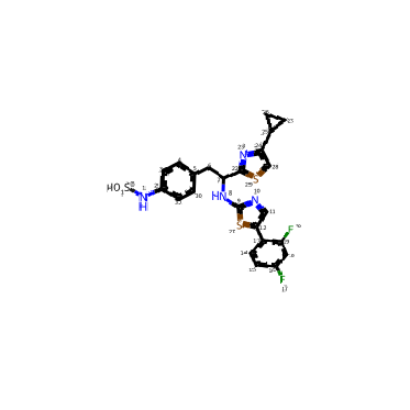 O=S(=O)(O)Nc1ccc(CC(Nc2ncc(-c3ccc(F)cc3F)s2)c2nc(C3CC3)cs2)cc1